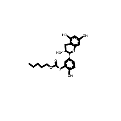 CCCCCOC(=O)Oc1cc([C@H]2Oc3cc(O)cc(O)c3C[C@H]2O)ccc1O